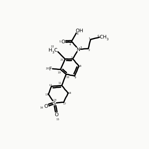 CCCN(C(=O)O)c1ccc(C2=CCS(=O)(=O)CC2)c(F)c1C